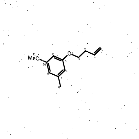 C=CCCOc1cc(C)cc(OC)c1